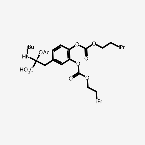 CCC(C)N[C@@](Cc1ccc(OC(=O)OCCC(C)C)c(OC(=O)OCCC(C)C)c1)(OC(C)=O)C(=O)O